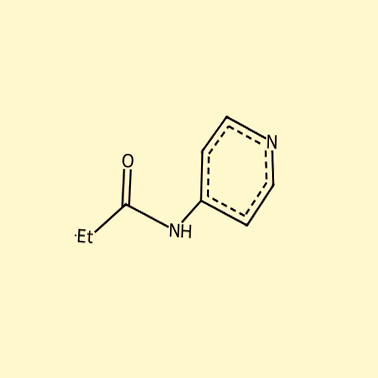 C[CH]C(=O)Nc1ccncc1